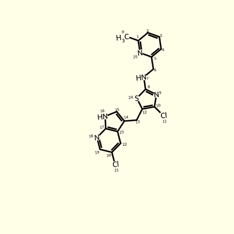 Cc1cccc(CNc2nc(Cl)c(Cc3c[nH]c4ncc(Cl)cc34)s2)n1